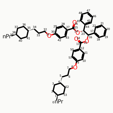 CCC[C@H]1CC[C@H](CCCOc2ccc(C(=O)O[C@H](c3ccccc3)[C@H](OC(=O)c3ccc(OCCC[C@H]4CC[C@H](CCC)CC4)cc3)c3ccccc3)cc2)CC1